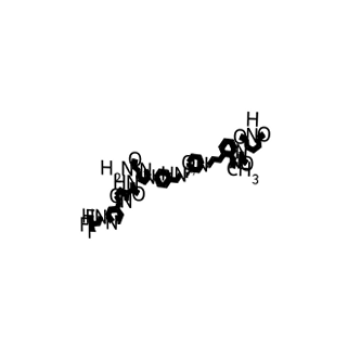 Cn1c(=O)n(C2CCC(=O)NC2=O)c2cccc(CCCN3CCO[C@H](CNCc4ccc(-n5cc(NC(=O)c6coc(-c7ccnc(NCC(F)(F)F)c7)n6)c(C(N)=O)n5)cc4)C3)c21